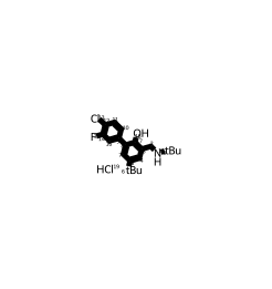 CC(C)(C)NCc1cc(C(C)(C)C)cc(-c2ccc(Cl)c(F)c2)c1O.Cl